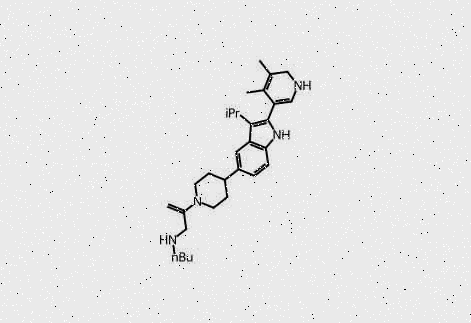 C=C(CNCCCC)N1CCC(c2ccc3[nH]c(C4=CNCC(C)=C4C)c(C(C)C)c3c2)CC1